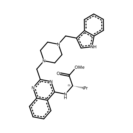 COC(=O)[C@@H](Nc1nc(CN2CCN(Cc3c[nH]c4ccccc34)CC2)nc2ccccc12)C(C)C